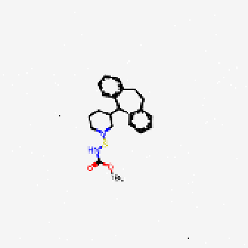 CC(C)(C)OC(=O)NSN1CCCC(C2c3ccccc3CCc3ccccc32)C1